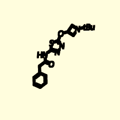 CC(C)(C)N1CC(Oc2nnc(NC(=O)Cc3ccccc3)s2)C1